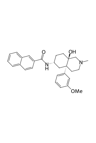 COc1cccc([C@@]23CCN(C)C[C@@]2(O)CC[C@@H](NC(=O)c2ccc4ccccc4c2)C3)c1